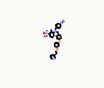 [C-]#[N+]c1ccc(CN(Cc2ccc(Oc3cccc(OCCc4cccnc4)c3)cc2)c2cccc(NS(C)(=O)=O)c2C)cc1